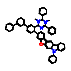 CN1C(c2ccccc2)=NC(C2C=C(C3=CCCC(C4=CCCCC4)=C3)C=CC2c2ccc3c4c(oc3c2)=CC2C(C=4)C3=C(C=CCC3)N2C2=CC=CCC2)N(C)C1C1=CCCC=C1